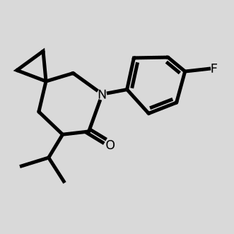 CC(C)C1CC2(CC2)CN(c2ccc(F)cc2)C1=O